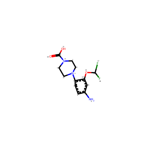 Nc1ccc(N2CCN(C(=O)O)CC2)c(OC(F)F)c1